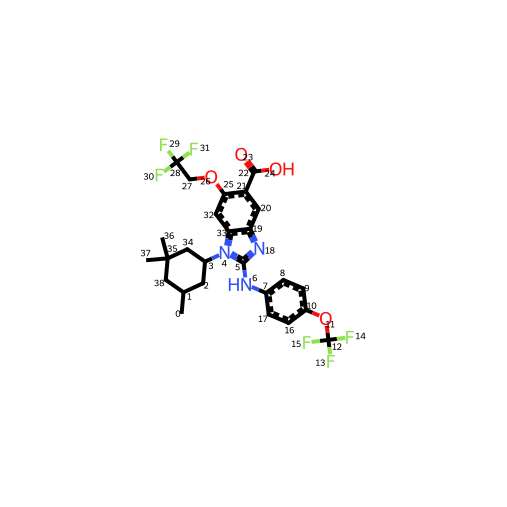 CC1CC(n2c(Nc3ccc(OC(F)(F)F)cc3)nc3cc(C(=O)O)c(OCC(F)(F)F)cc32)CC(C)(C)C1